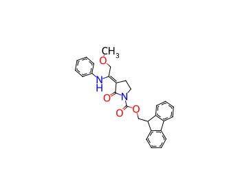 COCC(Nc1ccccc1)=C1CCN(C(=O)OCC2c3ccccc3-c3ccccc32)C1=O